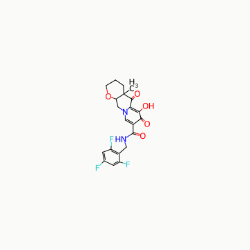 CC12CCCOC1Cn1cc(C(=O)NCc3c(F)cc(F)cc3F)c(=O)c(O)c1C2=O